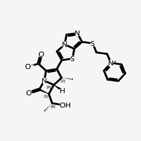 C[C@@H](O)[C@H]1C(=O)N2C(C(=O)[O-])=C(c3cn4cnc(SCC[n+]5ccccc5)c4s3)[C@H](C)[C@H]12